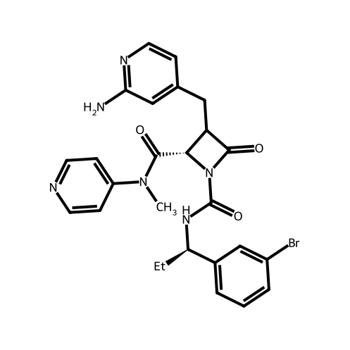 CC[C@@H](NC(=O)N1C(=O)C(Cc2ccnc(N)c2)[C@H]1C(=O)N(C)c1ccncc1)c1cccc(Br)c1